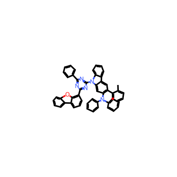 Cc1ccccc1-c1cc2c3ccccc3n(-c3nc(-c4ccccc4)nc(-c4cccc5c4oc4ccccc45)n3)c2cc1N(c1ccccc1)c1ccccc1